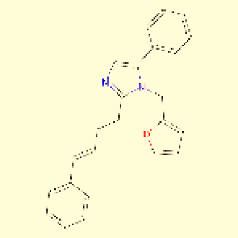 C(=C\c1ccccc1)/CCc1ncc(-c2ccccc2)n1Cc1ccco1